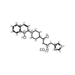 O=C(O)N(Cc1cscn1)CC(Cl)C1CCN(C2C=Cc3ccccc3N2Cl)CC1